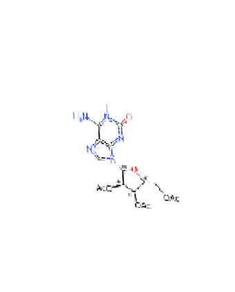 CC(=O)OC[C@H]1O[C@@H](n2cnc3c(N)n(C)c(=O)nc32)[C@H](OC(C)=O)[C@@H]1OC(C)=O